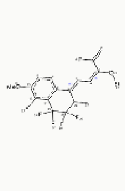 C=C(F)/C(=C\C=C1\c2ccc(OC)c(F)c2C(F)(F)C(F)(F)C1C)OCC